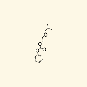 CC(C)COCCOC(=O)Oc1ccccc1